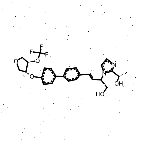 C[C@H](O)c1nccn1C(/C=C/c1ccc(-c2ccc(O[C@@H]3COC[C@H]3OC(F)(F)F)cc2)cc1)CO